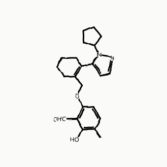 Cc1ccc(OCC2=C(c3ccnn3C3CCCC3)CCCC2)c(C=O)c1O